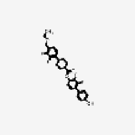 CCOCc1ccc(C2CCC(C(=O)Oc3ccc(-c4ccc(O)cc4)c(F)c3F)CC2)c(F)c1F